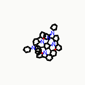 N#Cc1c(-n2c3ccccc3c3ccc4c(c5ccccc5n4-c4ccccc4)c32)c(-c2ccccc2)c(-n2c3ccccc3c3ccccc32)c(-c2ccccc2)c1-n1c2ccccc2c2ccc3c(c4ccccc4n3-c3ccccc3)c21